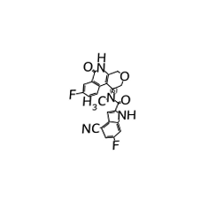 CN(C(=O)c1cc2c(C#N)cc(F)cc2[nH]1)[C@@H]1COCc2[nH]c(=O)c3cc(F)ccc3c21